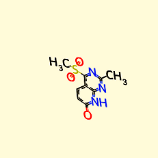 Cc1nc(S(C)(=O)=O)c2ccc(=O)[nH]c2n1